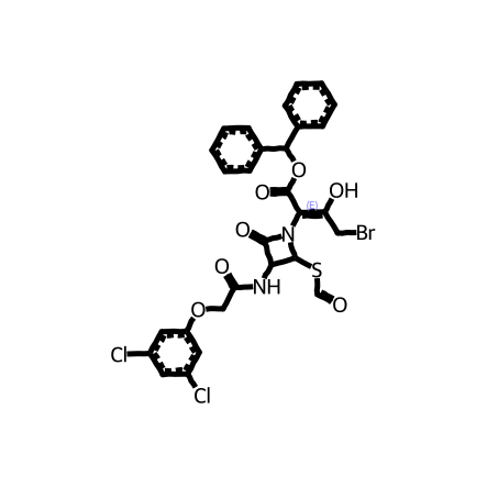 O=CSC1C(NC(=O)COc2cc(Cl)cc(Cl)c2)C(=O)N1/C(C(=O)OC(c1ccccc1)c1ccccc1)=C(/O)CBr